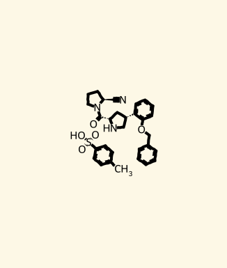 Cc1ccc(S(=O)(=O)O)cc1.N#C[C@@H]1CCCN1C(=O)[C@@H]1C[C@H](c2ccccc2OCc2ccccc2)CN1